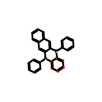 c1ccc(P(c2ccccc2)c2cc3ccccc3cc2P(c2ccccc2)c2ccccc2)cc1